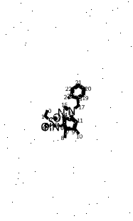 CCS(=O)(=O)Nc1c(C)c(C)cc2c1ncn2Cc1ccccc1C